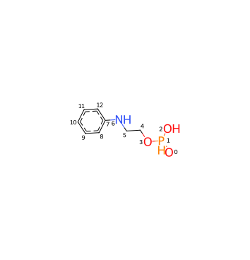 O=[PH](O)OCCNc1ccccc1